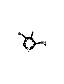 CBc1cncc(Br)c1C